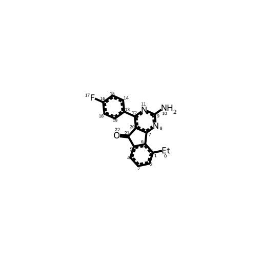 CCc1cccc2c1-c1nc(N)nc(-c3ccc(F)cc3)c1C2=O